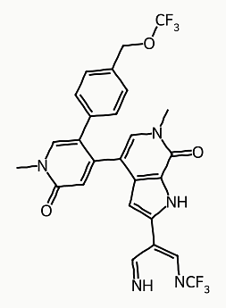 Cn1cc(-c2ccc(COC(F)(F)F)cc2)c(-c2cn(C)c(=O)c3[nH]c(/C(C=N)=C/NC(F)(F)F)cc23)cc1=O